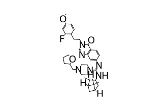 COc1ccc(CCn2cnc3cc(N=C(NC4C[C@H]5C[C@H]([C@H]4C)C5(C)C)N4CCN(CC5CCCO5)CC4)ccc3c2=O)c(F)c1